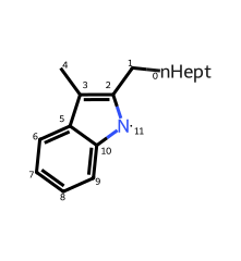 CCCCCCCCC1=C(C)c2ccccc2[N]1